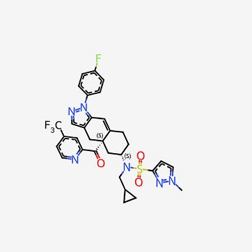 Cn1ccc(S(=O)(=O)N(CC2CC2)[C@H]2CCC3=Cc4c(cnn4-c4ccc(F)cc4)C[C@]3(C(=O)c3cc(C(F)(F)F)ccn3)C2)n1